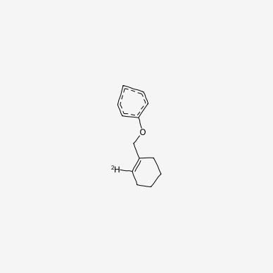 [2H]C1=C(COc2ccccc2)CCCC1